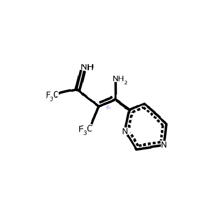 N=C(/C(=C(\N)c1ccncn1)C(F)(F)F)C(F)(F)F